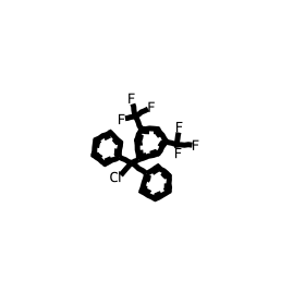 FC(F)(F)c1cc(C(F)(F)F)cc(C(Cl)(c2ccccc2)c2ccccc2)c1